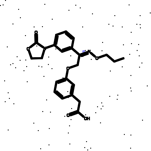 CCCO/N=C(\COc1cccc(CC(=O)O)c1)c1cccc(N2CCOC2=O)c1